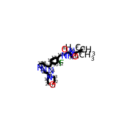 CC(C)(C)c1nc(C(=O)NCc2ccc(-c3nc(N4CCOCC4)cn4nccc34)cc2F)co1